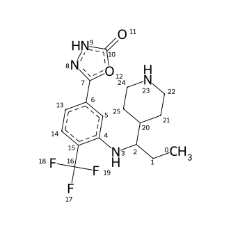 CCC(Nc1cc(-c2n[nH]c(=O)o2)ccc1C(F)(F)F)C1CCNCC1